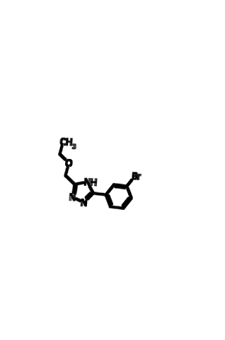 CCOCc1nnc(-c2cccc(Br)c2)[nH]1